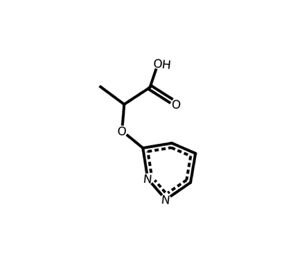 CC(Oc1cccnn1)C(=O)O